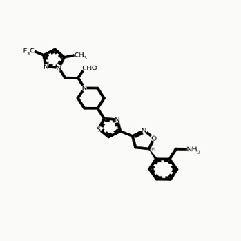 Cc1cc(C(F)(F)F)nn1CC(C=O)N1CCC(c2nc(C3=NO[C@@H](c4ccccc4CN)C3)cs2)CC1